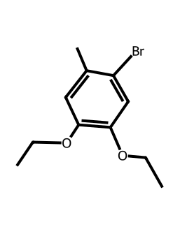 CCOc1cc(C)c(Br)cc1OCC